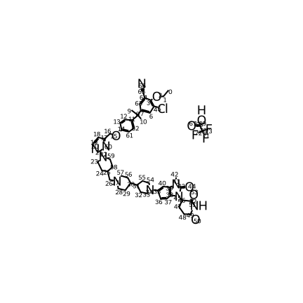 CCOc1c(Cl)cc(C(C)(C)c2ccc(OCc3ccnc(N4CCC(CN5CCC(C6CCN(c7ccc8c(c7)n(C)c(=O)n8C7CCC(=O)NC7=O)CC6)CC5)CC4)n3)cc2)cc1C#N.O=C(O)C(F)(F)F